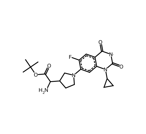 CC(C)(C)OC(=O)C(N)C1CCN(c2cc3c(cc2F)C(=O)[N]C(=O)N3C2CC2)C1